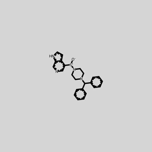 [O-][S+](c1cncc2[nH]ccc12)N1CCN(C(c2ccccc2)c2ccccc2)CC1